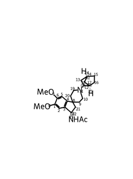 COc1cc2c(cc1OC)C1(CCN([C@H]3C[C@H]4CC[C@@H]3C4)CC1)C[C@@H]2NC(C)=O